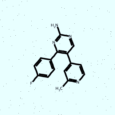 Cc1cc(-c2cnc(N)nc2-c2ccc(F)cc2)ccn1